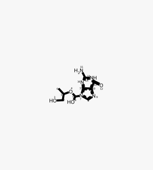 CC(CO)OC(O)n1cnc2c(=O)[nH]c(N)nc21